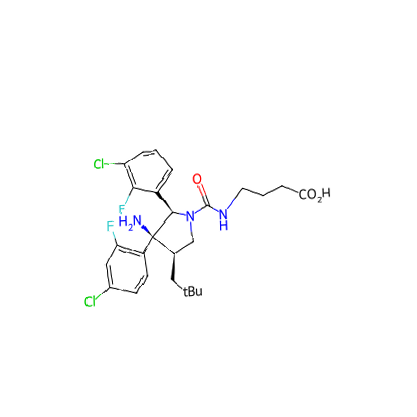 CC(C)(C)C[C@@H]1CN(C(=O)NCCCC(=O)O)[C@H](c2cccc(Cl)c2F)[C@@]1(N)c1ccc(Cl)cc1F